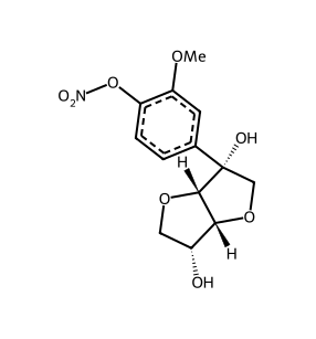 COc1cc([C@@]2(O)CO[C@@H]3[C@H](O)CO[C@@H]32)ccc1O[N+](=O)[O-]